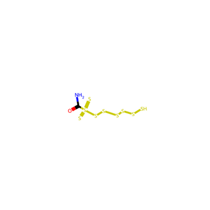 NC(=O)S(=S)(=S)SSSSSS